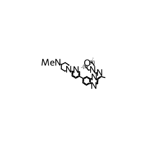 CNC1CCN(c2ccc(-c3ccc4ncc5c(C)nc(N6C[C@@H](C)O[C@@H](C)C6)n5c4c3)cn2)CC1